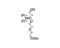 COCCOCCOP(CCC#N)N(C(C)C)C(C)C